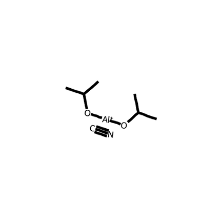 CC(C)[O][Al+][O]C(C)C.[C-]#N